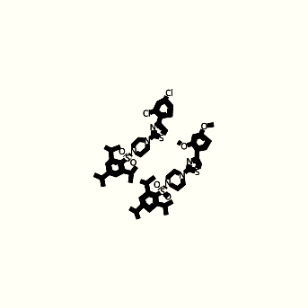 CC(C)c1cc(C(C)C)c(S(=O)(=O)N2CCN(c3nc(-c4ccc(Cl)cc4Cl)cs3)CC2)c(C(C)C)c1.COc1ccc(-c2csc(N3CCN(S(=O)(=O)c4c(C(C)C)cc(C(C)C)cc4C(C)C)CC3)n2)c(OC)c1